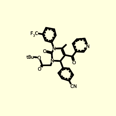 CC1=C(C(=O)c2cccnc2)C(c2ccc(C#N)cc2)N(CC(=O)OC(C)(C)C)C(=O)N1c1cccc(C(F)(F)F)c1